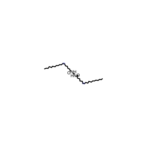 CCCCCCCCCCC/C=C\CCCCC(=O)NCCNC(=O)CCCC/C=C\CCCCCCCCCCC